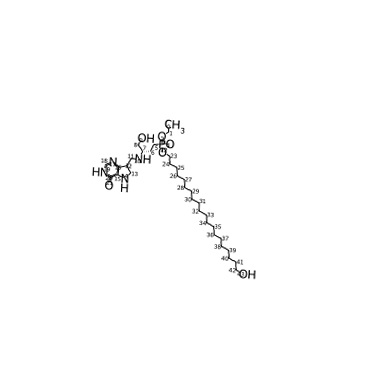 CCOP(=O)(CC[C@@H](CO)NCC1CNc2c1nc[nH]c2=O)OCCCCCCCCCCCCCCCCCCCCO